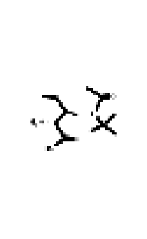 CC(=O)OC(C)(C)C.CC[C@@H](C)[C@@H](N)C(=O)O